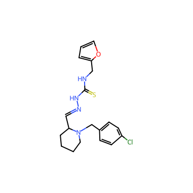 S=C(NCc1ccco1)NN=CC1CCCCN1Cc1ccc(Cl)cc1